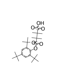 CC(C)(C)c1cc(C(C)(C)C)c(OS(=O)(=O)C(C)(C)C(C)(C)S(=O)(=O)O)c(C(C)(C)C)c1